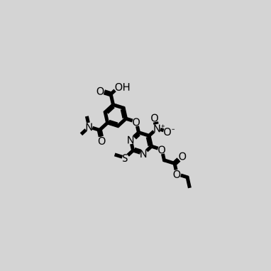 CCOC(=O)COc1nc(SC)nc(Oc2cc(C(=O)O)cc(C(=O)N(C)C)c2)c1[N+](=O)[O-]